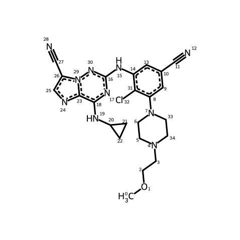 COCCN1CCN(c2cc(C#N)cc(Nc3nc(NC4CC4)c4ncc(C#N)n4n3)c2Cl)CC1